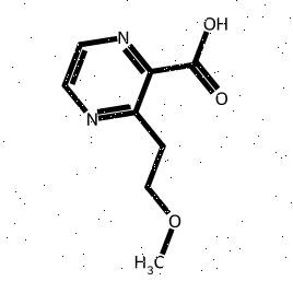 COCCc1nccnc1C(=O)O